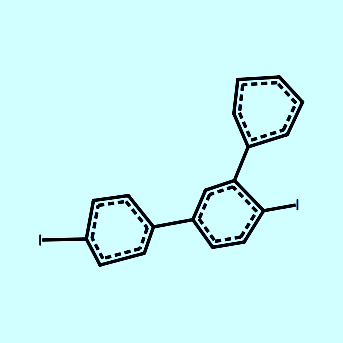 Ic1ccc(-c2ccc(I)c(-c3ccccc3)c2)cc1